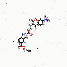 CCN(CC)c1ccc2c(c1)OC(=O)C(CCOC(=O)NCc1cccc(C(=O)ONC)c1)C2C